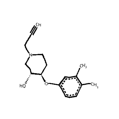 C#CCN1CC[C@@H](Oc2ccc(C)c(C)c2)[C@H](O)C1